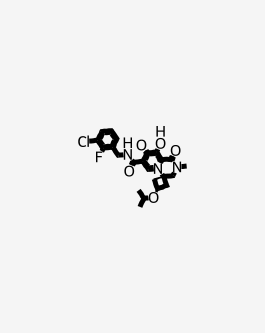 CC(C)O[C@H]1C[C@@]2(CN(C)C(=O)c3c(O)c(=O)c(C(=O)NCc4cccc(Cl)c4F)cn32)C1